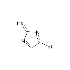 CCC1=NC(=N)N=C1